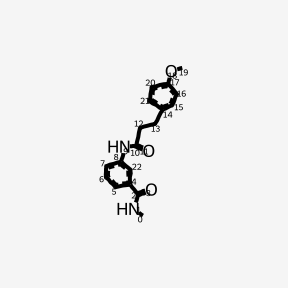 CNC(=O)c1cccc(NC(=O)CCc2ccc(OC)cc2)c1